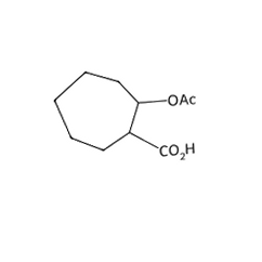 CC(=O)OC1CCCCCC1C(=O)O